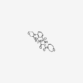 CCc1c(N2CCOCC2=O)cccc1S(=O)(=O)N[C@@H](C(N)=O)C(=O)N1CCCOCC1